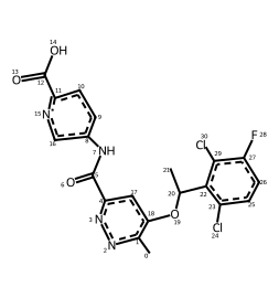 Cc1nnc(C(=O)Nc2ccc(C(=O)O)nc2)cc1OC(C)c1c(Cl)ccc(F)c1Cl